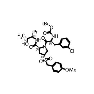 COc1ccc(CS(=O)(=O)[C@@H]2C[C@@H](C(=O)N[C@@H](C(C)C)[C@H](O)C(F)(F)F)N(C(=O)[C@H](Cc3cccc(Cl)c3)NC(=O)OC(C)(C)C)C2)cc1